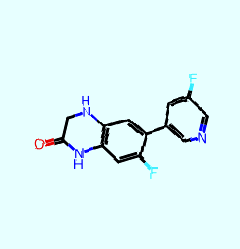 O=C1CNc2cc(-c3cncc(F)c3)c(F)cc2N1